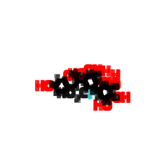 O=C(O)C1=C(C2COc3cc(O)ccc3C2)C(O)(O)C(O)=C(O)C1(F)c1cc(O)c(O)c(O)c1